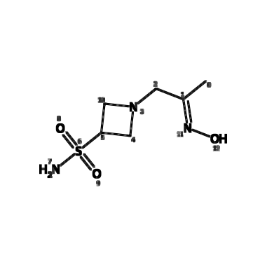 CC(CN1CC(S(N)(=O)=O)C1)=NO